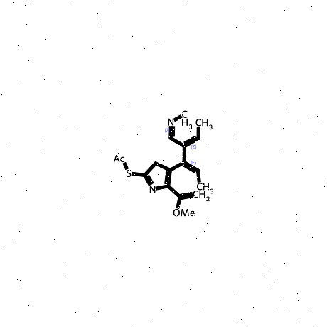 C=C(OC)C1=C(C(=C\C)/C(/C=N\C)=C/C)CC(SC(C)=O)=N1